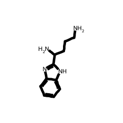 NCCCC(N)c1nc2ccccc2[nH]1